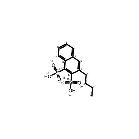 CCCCc1cc2ccccc2c(S(=O)(=O)O)c1S(=O)(=O)O